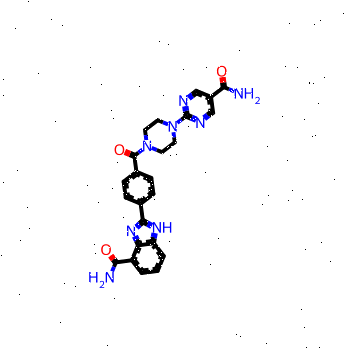 NC(=O)c1cnc(N2CCN(C(=O)c3ccc(-c4nc5c(C(N)=O)cccc5[nH]4)cc3)CC2)nc1